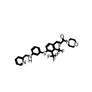 O=C(C=Cc1ccc(Sc2cccc(NCc3ccccn3)c2)c(C(F)(F)F)c1C(F)(F)F)N1CCOCC1